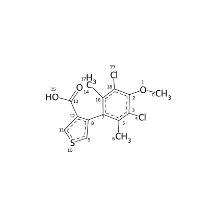 COc1c(Cl)c(C)c(-c2cscc2C(=O)O)c(C)c1Cl